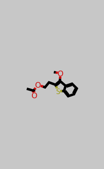 COc1c(CCOC(C)=O)sc2ccccc12